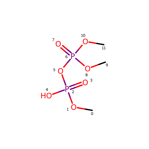 COP(=O)(O)OP(=O)(OC)OC